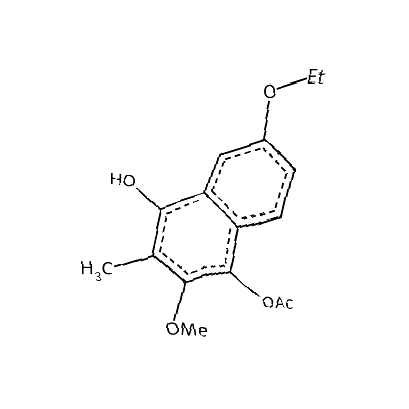 CCOc1ccc2c(OC(C)=O)c(OC)c(C)c(O)c2c1